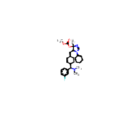 COC(=O)OC1(C)N=CN(C2CCCCC2)C1CC1CCC(C(c2cccc(F)c2)N(C)C)CC1